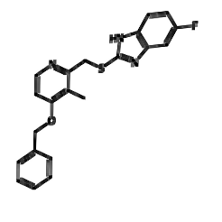 Cc1c(OCc2ccccc2)ccnc1CSc1nc2cc(F)ccc2[nH]1